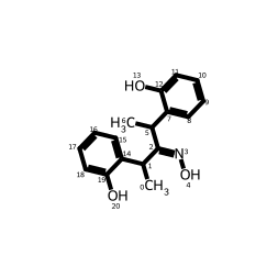 CC(C(=NO)C(C)c1ccccc1O)c1ccccc1O